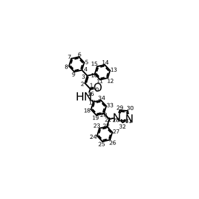 O=C(C=C(c1ccccc1)c1ccccc1)Nc1ccc(C(c2ccccc2)n2ccnc2)cc1